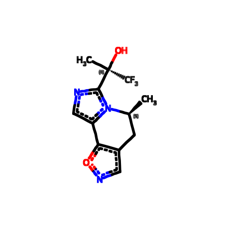 C[C@H]1Cc2cnoc2-c2cnc([C@@](C)(O)C(F)(F)F)n21